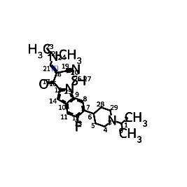 CC(C)N1CCC(c2cc3c(cc2F)cc(C(=O)/C(C#N)=C/N(C)C)n3SI)CC1